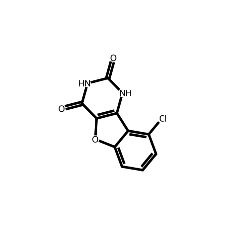 O=c1[nH]c(=O)c2oc3cccc(Cl)c3c2[nH]1